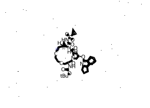 CC(C)(C)OC(=O)N[C@H]1CCCCC/C=C\[C@@H]2C[C@@]2(C(=O)NS(=O)(=O)C2CC2)NC(=O)[C@@H]2C[C@@H](Oc3nc4c(c5ccccc35)CCC4)CN2C1=O